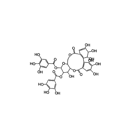 O=C1OCC2OC(OC(=O)c3cc(O)c(O)c(O)c3)C(OC(=O)c3cc(O)c(O)c(O)c3)C(O)C2OC(=O)c2cc(O)c(O)c(O)c2C2=C1C=C(O)C(O)C2O